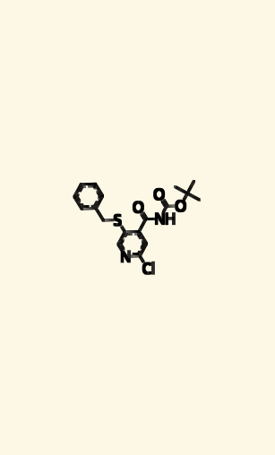 CC(C)(C)OC(=O)NC(=O)c1cc(Cl)ncc1SCc1ccccc1